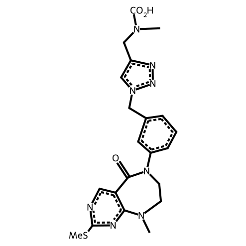 CSc1ncc2c(n1)N(C)CCN(c1cccc(Cn3cc(CN(C)C(=O)O)nn3)c1)C2=O